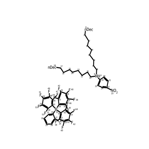 CCCCCCCCCCCCCCCCCC[NH+](CCCCCCCCCCCCCCCCCC)c1ccc([N+](=O)[O-])cc1.Oc1ccccc1[B-](c1c(F)c(F)c(F)c(F)c1F)(c1c(F)c(F)c(F)c(F)c1F)c1c(F)c(F)c(F)c(F)c1F